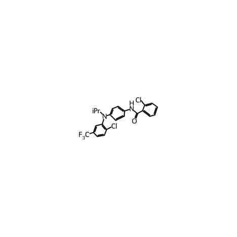 CC(C)N(c1ccc(NC(=O)c2ccccc2Cl)cc1)c1cc(C(F)(F)F)ccc1Cl